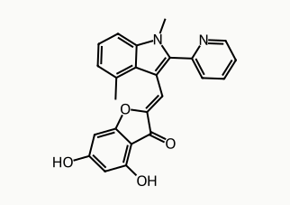 Cc1cccc2c1c(C=C1Oc3cc(O)cc(O)c3C1=O)c(-c1ccccn1)n2C